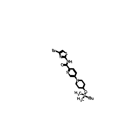 CC(C)(C)[Si](C)(C)OC1CCN(c2ccc(C(=O)Nc3nc(Br)cs3)nc2)CC1